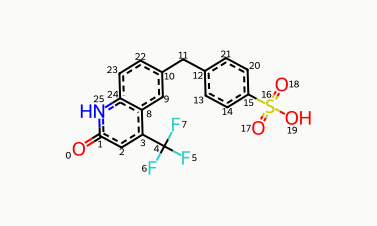 O=c1cc(C(F)(F)F)c2cc(Cc3ccc(S(=O)(=O)O)cc3)ccc2[nH]1